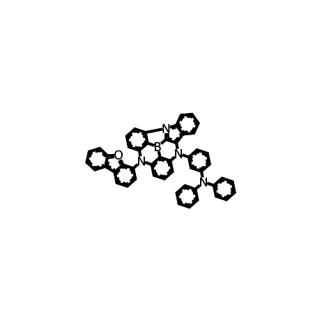 c1ccc(N(c2ccccc2)c2cccc(N3c4cccc5c4B4c6c(cccc6-n6c4c3c3ccccc36)N5c3cccc4c3oc3ccccc34)c2)cc1